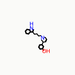 Oc1cccc(C2C=CCN(CCCCc3c[nH]c4ccccc34)C2)c1